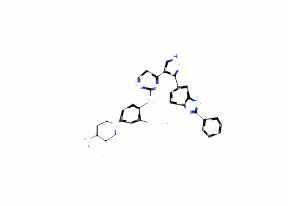 CCn1cc(-c2ccnc(Nc3ccc(N4CCC(N(C)C)CC4)cc3OC)n2)c(-c2ccc3[nH]c(-c4ccccc4)nc3c2)n1